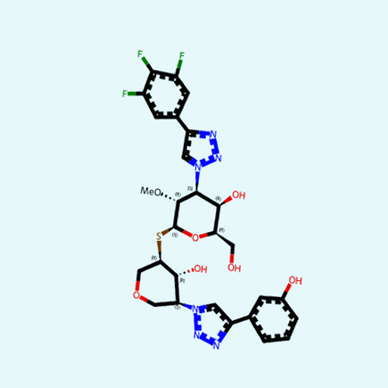 CO[C@@H]1[C@@H](n2cc(-c3cc(F)c(F)c(F)c3)nn2)[C@@H](O)[C@@H](CO)O[C@H]1S[C@@H]1COC[C@H](n2cc(-c3cccc(O)c3)nn2)[C@H]1O